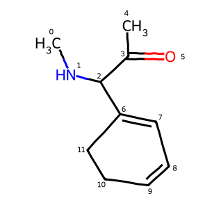 CNC(C(C)=O)C1=CC=CCC1